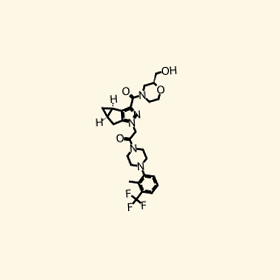 Cc1c(N2CCN(C(=O)Cn3nc(C(=O)N4CCO[C@H](CO)C4)c4c3C[C@H]3C[C@@H]43)CC2)cccc1C(F)(F)F